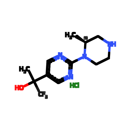 C[C@H]1CNCCN1c1ncc(C(C)(O)C(F)(F)F)cn1.Cl